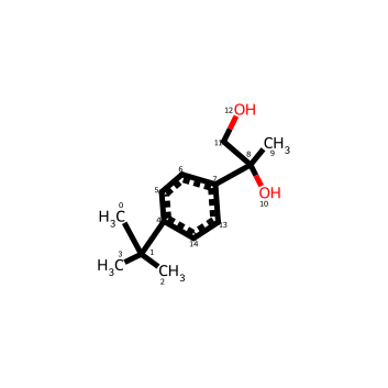 CC(C)(C)c1ccc(C(C)(O)CO)cc1